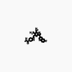 Bc1c(CNC2CCN(C(=O)NC)CC2)nc2c(-c3cnc4ccc(F)cc4c3)cnn2c1N